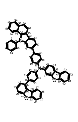 c1ccc(-n2c3cc(-c4ccc(N(c5ccc(-c6cccc7oc8ccccc8c67)cc5)c5ccc6c(c5)oc5ccccc56)cc4)ccc3c3ccc4ccccc4c32)cc1